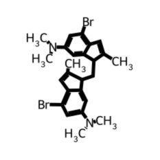 CC1=Cc2c(Br)cc(N(C)C)cc2C1CC1C(C)=Cc2c(Br)cc(N(C)C)cc21